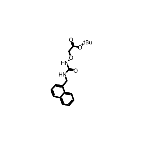 CC(C)(C)OC(=O)CONC(=O)NCc1cccc2ccccc12